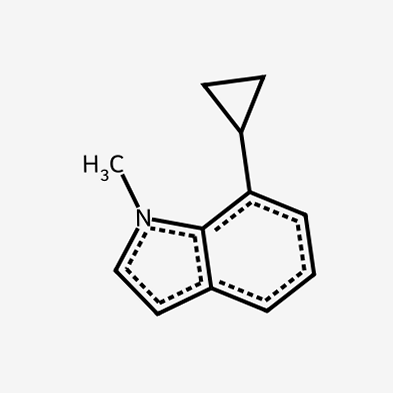 Cn1ccc2cccc(C3CC3)c21